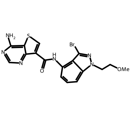 COCCn1nc(Br)c2c(NC(=O)c3csc4c(N)ncnc34)cccc21